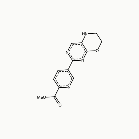 COC(=O)c1ccc(-c2ncc3c(n2)OCCN3)cn1